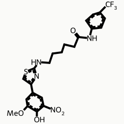 COc1cc(-c2csc(NCCCCCC(=O)Nc3ccc(C(F)(F)F)cc3)n2)cc([N+](=O)[O-])c1O